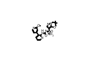 COc1cc(-c2cccnc2NC(=O)N=S(N)(=O)c2cnn3c2OCC(C)(C)C3)ccn1